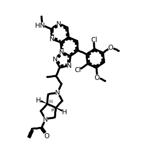 C=CC(=O)N1C[C@H]2CN(CC(C)c3nc4c(-c5c(Cl)c(OC)cc(OC)c5Cl)cc5cnc(NC)nc5n4n3)C[C@H]2C1